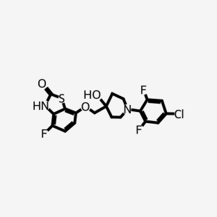 O=c1[nH]c2c(F)ccc(OCC3(O)CCN(c4c(F)cc(Cl)cc4F)CC3)c2s1